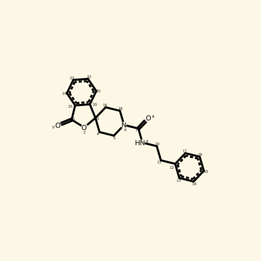 O=C1OC2(CCN(C(=O)NCCc3ccccc3)CC2)c2ccccc21